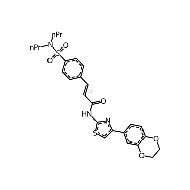 CCCN(CCC)S(=O)(=O)c1ccc(/C=C/C(=O)Nc2nc(-c3ccc4c(c3)OCCO4)cs2)cc1